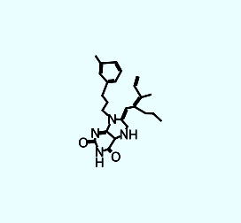 C=C/C(C)=C(\C=C1/CNC2C(=O)NC(=O)N=C2N1CCCc1cccc(C)c1)CCC